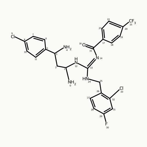 NC(CC(N)c1ccc(Cl)cc1)N/C(=N\C(=O)c1ccc(C(F)(F)F)cc1)NCc1ccc(F)cc1Cl